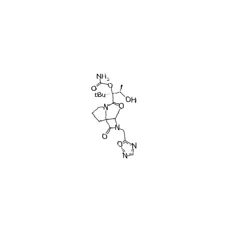 CC1N(Cc2ncno2)C(=O)C12CCCN2C(=O)[C@@](OC(N)=O)([C@@H](C)O)C(C)(C)C